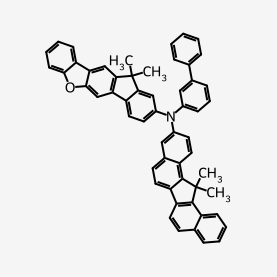 CC1(C)c2cc(N(c3cccc(-c4ccccc4)c3)c3ccc4c5c(ccc4c3)-c3ccc4ccccc4c3C5(C)C)ccc2-c2cc3oc4ccccc4c3cc21